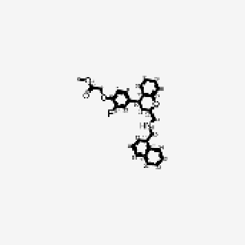 COC(=O)COc1ccc(C2CC(CNCc3cccc4ccccc34)Oc3ccccc32)cc1F